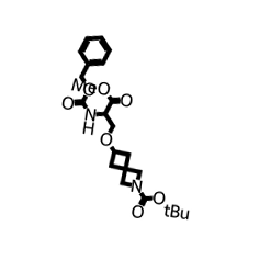 COC(=O)C(COC1CC2(C1)CN(C(=O)OC(C)(C)C)C2)NC(=O)OCc1ccccc1